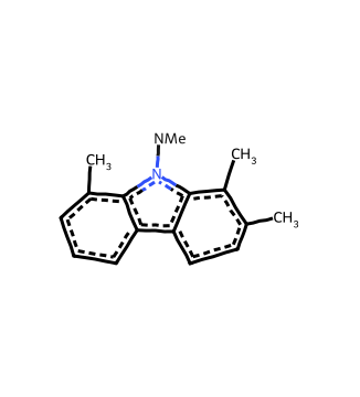 CNn1c2c(C)cccc2c2ccc(C)c(C)c21